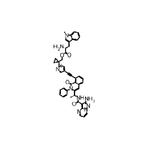 C[C@H](NC(=O)c1c(N)nn2cccnc12)c1cc2cccc(C#Cc3cnn(C4(COC(=O)[C@H](N)Cc5cn(C)c6ccccc56)CC4)c3)c2c(=O)n1-c1ccccc1